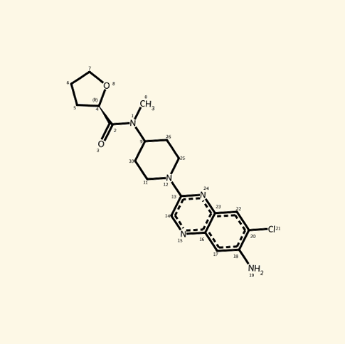 CN(C(=O)[C@H]1CCCO1)C1CCN(c2cnc3cc(N)c(Cl)cc3n2)CC1